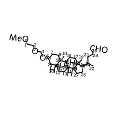 COCCOCO[C@@H]1CC[C@@]2(C)[C@H](CC[C@@H]3[C@@H]2CC[C@]2(C)[C@@H]([C@H](C)CCC=O)CC[C@@H]32)C1